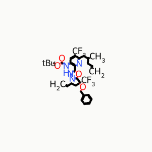 C=CCC[C@@](OCc1ccccc1)(c1nnc(-c2nc(CC(C)CC=C)c(C(F)(F)F)cc2NC(=O)OC(C)(C)C)o1)C(F)(F)F